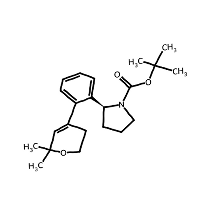 CC(C)(C)OC(=O)N1CCC[C@H]1c1ccccc1C1=CC(C)(C)OCC1